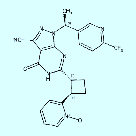 C[C@@H](c1ccc(C(F)(F)F)nc1)n1nc(C#N)c2c(=O)[nH]c([C@@H]3CC[C@H]3c3cccc[n+]3[O-])nc21